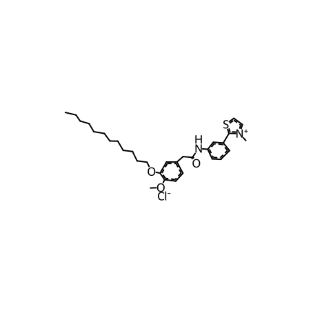 CCCCCCCCCCCCOc1cc(CC(=O)Nc2cccc(-c3scc[n+]3C)c2)ccc1OC.[Cl-]